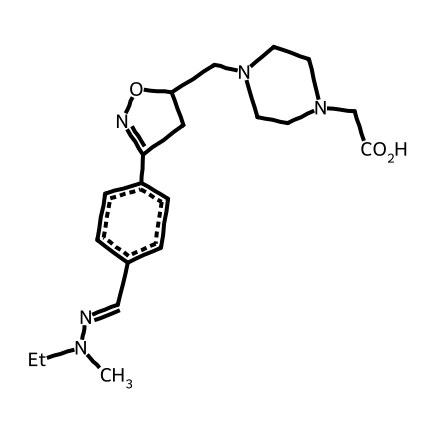 CCN(C)N=Cc1ccc(C2=NOC(CN3CCN(CC(=O)O)CC3)C2)cc1